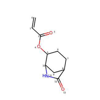 C=CC(=O)OC1CCC2CC1NC2=O